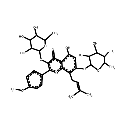 COc1ccc(-c2oc3c(CC=C(C)C)c(OC4OC(C)C(C)C(O)C4O)cc(O)c3c(=O)c2OC2OC(C)C(O)C(O)C2O)cc1